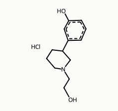 Cl.OCCN1CCCC(c2cccc(O)c2)C1